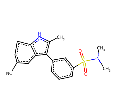 Cc1[nH]c2ccc(C#N)cc2c1-c1cccc(S(=O)(=O)N(C)C)c1